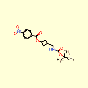 CC(C)(C)OC(=O)NCC1CC(OC(=O)c2ccc([N+](=O)[O-])cc2)C1